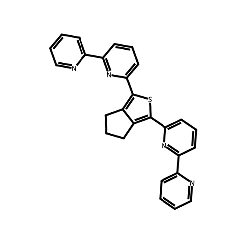 c1ccc(-c2cccc(-c3sc(-c4cccc(-c5ccccn5)n4)c4c3CCC4)n2)nc1